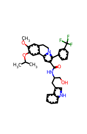 COc1cc2c(cc1OC(C)C)-c1cc(C(=O)NC(CO)Cc3c[nH]c4ccccc34)c(-c3cccc(C(F)(F)F)c3)n1CC2